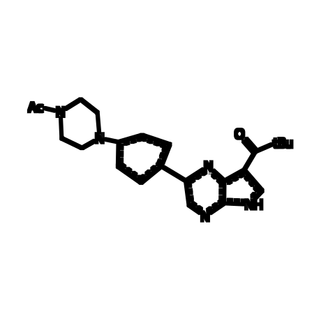 CC(=O)N1CCN(c2ccc(-c3cnc4[nH]cc(C(=O)C(C)(C)C)c4n3)cc2)CC1